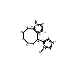 Cn1cncc1C1CCCCCc2sccc21